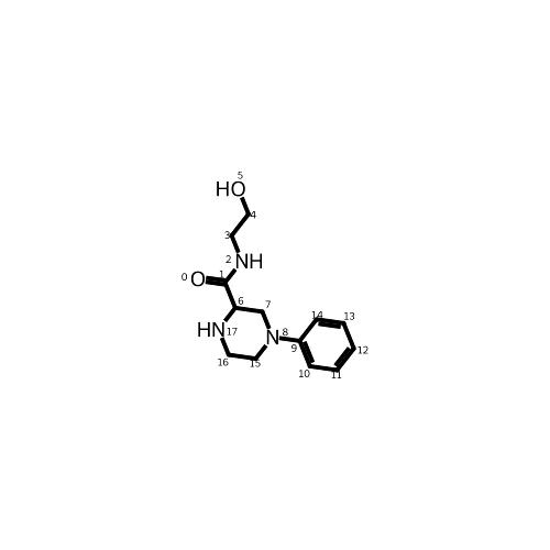 O=C(NCCO)C1CN(c2ccccc2)CCN1